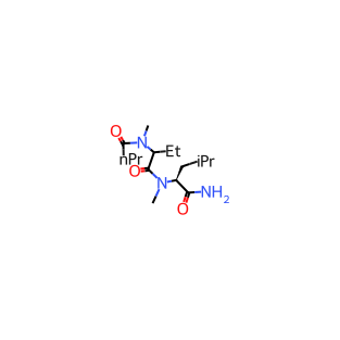 CCCC(=O)N(C)C(CC)C(=O)N(C)[C@@H](CC(C)C)C(N)=O